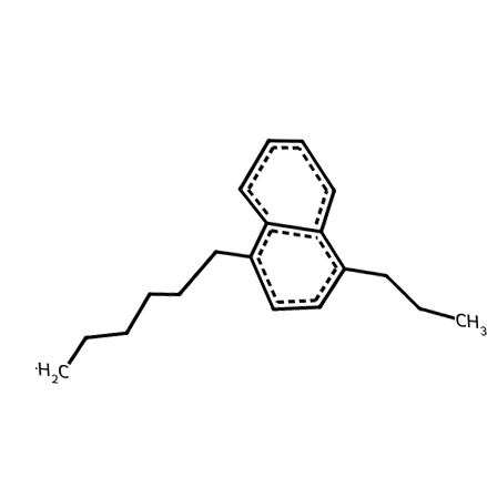 [CH2]CCCCCc1ccc(CCC)c2ccccc12